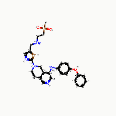 CS(=O)(=O)CCNCc1cnc(N2C=Cc3cncc(Nc4ccc(Oc5ccccc5)cc4)c3C2)s1